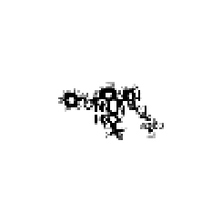 CC(C)(C)C(=O)CC1N=C(c2ccnn2COCC[Si](C)(C)C)c2ccccc2N(NC(=O)OCc2ccccc2)C1=O